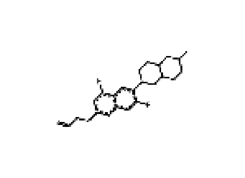 C=CCCc1cc(F)c2cc(C3CCC4CC(C)CCC4C3)c(F)cc2c1